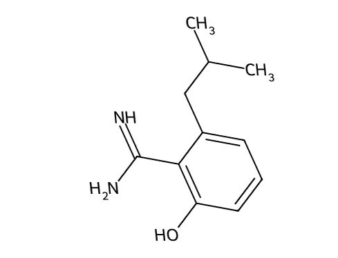 CC(C)Cc1cccc(O)c1C(=N)N